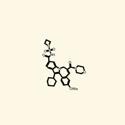 COc1ccc2c(c1)C=C(C(=O)N1CCOCC1)Cn1c-2c(C2CCCCC2)c2ccc(C(=O)NS(=O)(=O)N3CCC3)cc21